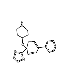 C1=CC(OC2CCNCC2)(c2nccs2)CC=C1c1ccccc1